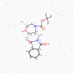 C[C@@H]1CN(C(=O)OC(C)(C)C)[C@H](CN2C(=O)c3ccccc3C2=O)[C@H](C)O1